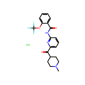 CN1CCC(C(=O)c2cccc(NC(=O)c3ccccc3OC(F)(F)F)n2)CC1.Cl